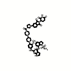 COc1cc(Nc2nc(Nc3cccc4c3N(S(C)(=O)=O)CC4)c3cc[nH]c3n2)ccc1N1CCC(N2CCN(C(=O)[C@@H]3CCN(c4ccc5c(c4)C(=O)N(C4CCC(=O)NC4=O)C5=O)C3)CC2)CC1